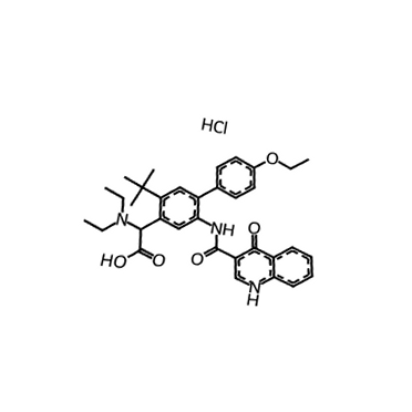 CCOc1ccc(-c2cc(C(C)(C)C)c(C(C(=O)O)N(CC)CC)cc2NC(=O)c2c[nH]c3ccccc3c2=O)cc1.Cl